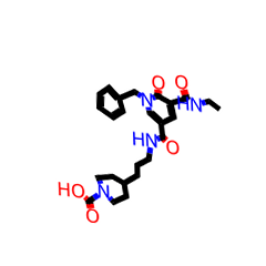 CCNC(=O)c1cc(C(=O)NCCCC2CCN(C(=O)O)CC2)cn(Cc2ccccc2)c1=O